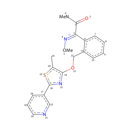 CNC(=O)/C(=N/OC)c1ccccc1COc1nc(-c2cccnc2)sc1C